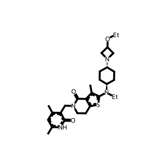 CCOC1CN([C@H]2CC[C@H](N(CC)c3sc4c(c3C)C(=O)N(Cc3c(C)cc(C)[nH]c3=O)CC4)CC2)C1